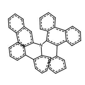 c1ccc(-c2ccccc2N(c2ccc3ccccc3c2)c2c(-c3ccccc3)c3ccccc3c3ccccc23)cc1